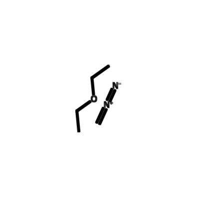 C=[N+]=[N-].CCOCC